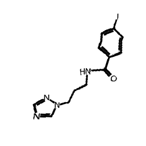 O=C(NCCCn1cncn1)c1ccc(I)cc1